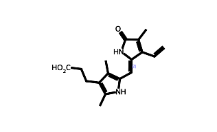 C=CC1=C(C)C(=O)N/C1=C\c1[nH]c(C)c(CCC(=O)O)c1C